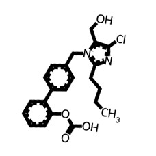 CCCCc1nc(Cl)c(CO)n1Cc1ccc(-c2ccccc2OC(=O)O)cc1